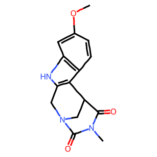 COc1ccc2c3c([nH]c2c1)CN1CC3C(=O)N(C)C1=O